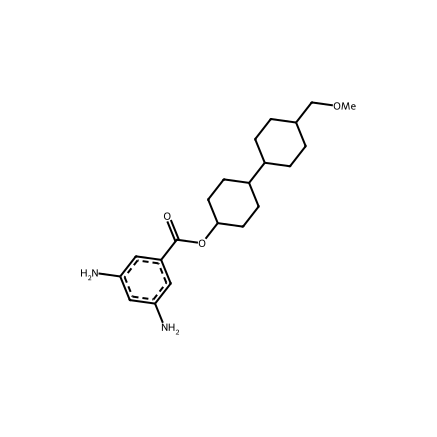 COCC1CCC(C2CCC(OC(=O)c3cc(N)cc(N)c3)CC2)CC1